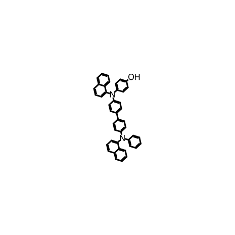 Oc1ccc(N(c2ccc(-c3ccc(N(c4ccccc4)c4cccc5ccccc45)cc3)cc2)c2cccc3ccccc23)cc1